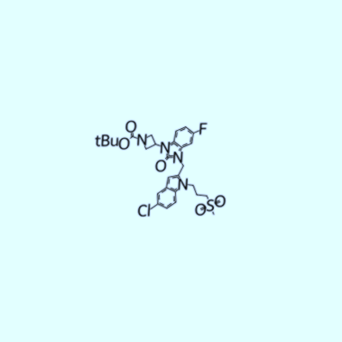 CC(C)(C)OC(=O)N1CC(n2c(=O)n(Cc3cc4cc(Cl)ccc4n3CCCS(C)(=O)=O)c3cc(F)ccc32)C1